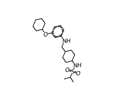 CC(C)S(=O)(=O)NC1CCC(CNc2cccc(OC3CCCCC3)c2)CC1